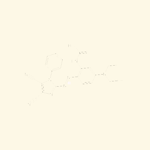 CCN(CC)c1ccc(/N=N/c2nc(C#N)c(C#N)n2-c2ccccc2)c(NC(C)=O)c1